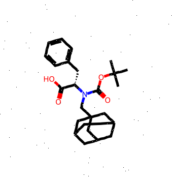 CC(C)(C)OC(=O)N(CC12CC3CC(CC(C3)C1)C2)[C@@H](Cc1ccccc1)C(=O)O